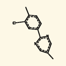 Cc1cnc(-c2ccc(C)c(Cl)c2)nc1